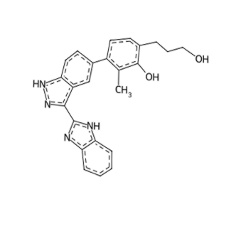 Cc1c(-c2ccc3[nH]nc(-c4nc5ccccc5[nH]4)c3c2)ccc(CCCO)c1O